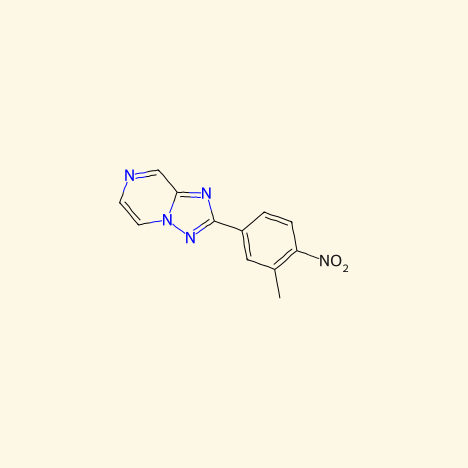 Cc1cc(-c2nc3cnccn3n2)ccc1[N+](=O)[O-]